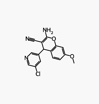 COc1ccc2c(c1)OC(N)=C(C#N)C2c1cncc(Cl)c1